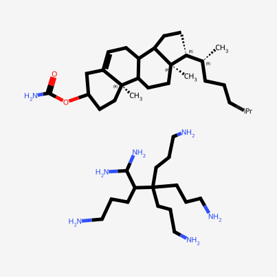 CC(C)CCC[C@@H](C)[C@H]1CCC2C3CC=C4CC(OC(N)=O)CC[C@]4(C)C3CC[C@@]21C.NCCCC(C(N)N)C(CCCN)(CCCN)CCCN